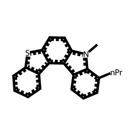 CCCc1cccc2c3c4c(ccc3n(C)c12)sc1ccccc14